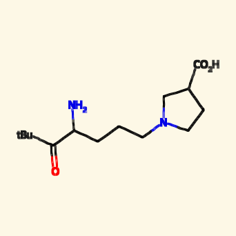 CC(C)(C)C(=O)C(N)CCCN1CCC(C(=O)O)C1